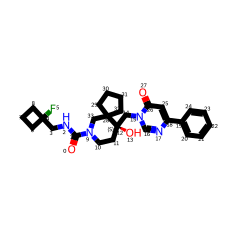 O=C(NCC1(F)CCC1)N1CC[C@@](O)(Cn2cnc(-c3ccccc3)cc2=O)C2(CCCC2)C1